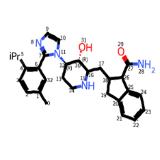 Cc1ccc(C(C)C)c(-c2nccn2[C@@H]2CCNC(CC3Cc4c[c]ccc4C3C(N)=O)[C@H]2O)c1